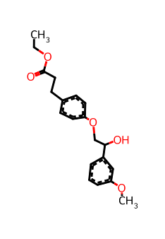 CCOC(=O)CCc1ccc(OCC(O)c2cccc(OC)c2)cc1